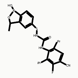 CC(C)c1cc(C#N)c(F)c(C(C)C)c1NC(=O)NSc1ccc2c(c1)C(C)OB2O